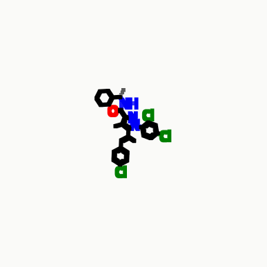 CC(=Cc1ccc(Cl)cc1)c1c(C)c(C(=O)N[C@@H](C)C2CCCCC2)nn1-c1ccc(Cl)cc1Cl